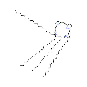 CCCCCCCCCCCCCCCCCCC1=CC2=CC3=NC(=CC4=NC(=CC5=NC(=C(CCCCCCCCCCCCCCCCCC)C1=N2)C(CCCCCCCCCCCCCCCCCC)=C5CCCCCCCCCCCCCCCCCC)C=C4)C=C3